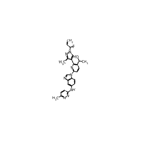 C=CC(F)n1cc(-c2nc(-n3cnc4cc(Nc5ccc(C)nn5)ccc43)ccc2C(C)O)c(C)n1